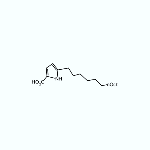 CCCCCCCCCCCCCCc1ccc(C(=O)O)[nH]1